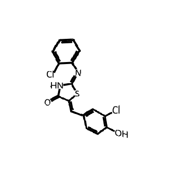 O=C1N/C(=N\c2ccccc2Cl)S/C1=C\c1ccc(O)c(Cl)c1